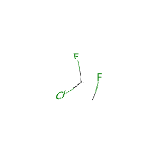 CF.F[CH]Cl